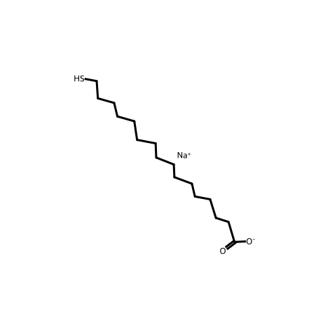 O=C([O-])CCCCCCCCCCCCCCCS.[Na+]